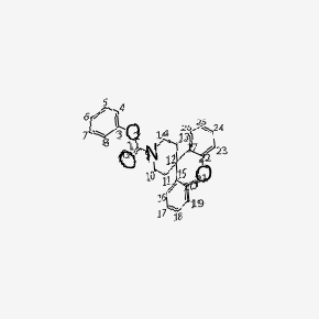 O=C(Oc1ccccc1)N1CCC2(CC1)c1ccccc1Oc1ccccc12